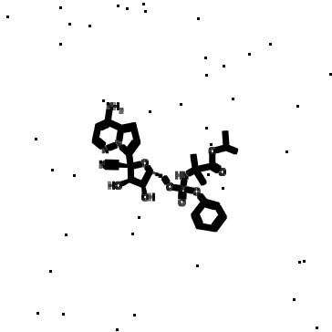 CC(C)OC(=O)C(C)(C)NP(=O)(OC[C@H]1O[C@@](C#N)(c2ccc3c(N)ccnn23)[C@H](O)[C@@H]1O)Oc1ccccc1